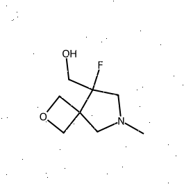 CN1CC(F)(CO)C2(COC2)C1